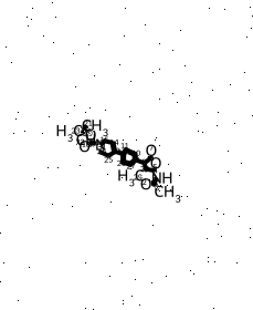 CC(=O)NC1OC(=O)C(c2ccc(C3=CCN(C(=O)OC(C)(C)C)CC3)cc2)C1C